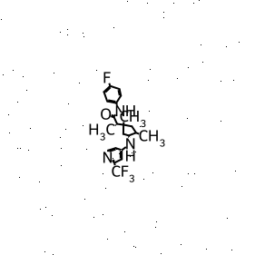 CC1CC(C)([C@H](C)C(=O)Nc2ccc(F)cc2)C[C@@H]1Nc1ccnc(C(F)(F)F)c1